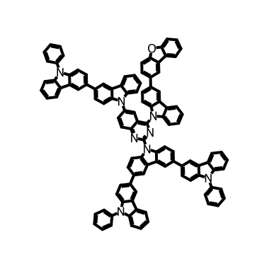 c1ccc(-n2c3ccccc3c3cc(-c4ccc5c(c4)c4ccccc4n5-c4ccc5nc(-n6c7ccc(-c8ccc9c(c8)c8ccccc8n9-c8ccccc8)cc7c7cc(-c8ccc9c(c8)c8ccccc8n9-c8ccccc8)ccc76)nc(-n6c7ccccc7c7cc(-c8ccc9oc%10ccccc%10c9c8)ccc76)c5c4)ccc32)cc1